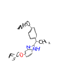 COc1ccc(C(C)c2nc3cc(OC(F)(F)F)ccc3[nH]2)cc1